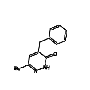 CCC(C)c1cc(Cc2ccccc2)c(=O)[nH]n1